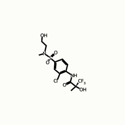 CN(CCO)S(=O)(=O)c1ccc(NC(=O)[C@@](C)(O)C(F)(F)F)c(Cl)c1